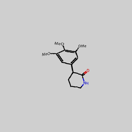 COc1cc(C2CCCNC2=O)cc(OC)c1OC